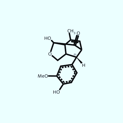 COc1cc([C@H]2C3C=C(C)C4C2COC4(O)C3=O)ccc1O